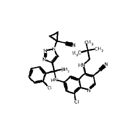 BC(Nc1cc(Cl)c2ncc(C#N)c(NCC(C)(C)C)c2c1)(c1cn(C2(C#N)CC2)nn1)c1ccccc1Cl